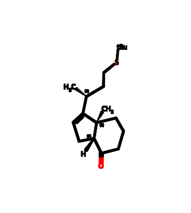 C[C@H](CCSC(C)(C)C)C1=CC[C@H]2C(=O)CCC[C@]12C